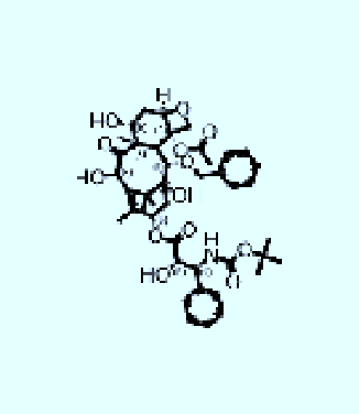 CC(=O)O[C@@]12CO[C@@H]1C[C@@H](O)[C@@]1(C)C(=O)[C@H](O)C3=C(C)[C@@H](OC(=O)[C@H](O)[C@@H](NC(=O)OC(C)(C)C)c4ccccc4)C[C@@](O)([C@@H](OCc4ccccc4)C12)C3(C)C